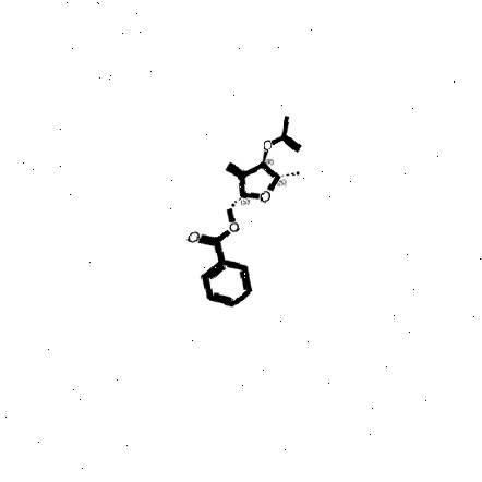 C=C(C)O[C@@H]1C(=C)[C@@H](COC(=O)c2ccccc2)O[C@H]1C